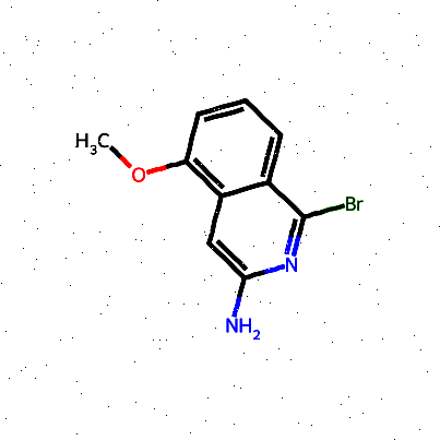 COc1cccc2c(Br)nc(N)cc12